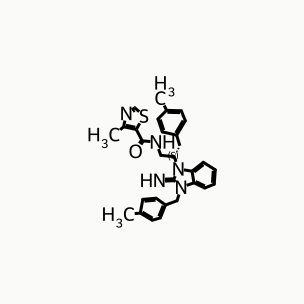 Cc1ccc(C[C@@H](CNC(=O)c2scnc2C)n2c(=N)n(Cc3ccc(C)cc3)c3ccccc32)cc1